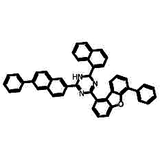 c1ccc(-c2ccc3cc(C4=NC(c5cccc6oc7c(-c8ccccc8)cccc7c56)=NC(c5cccc6ccccc56)N4)ccc3c2)cc1